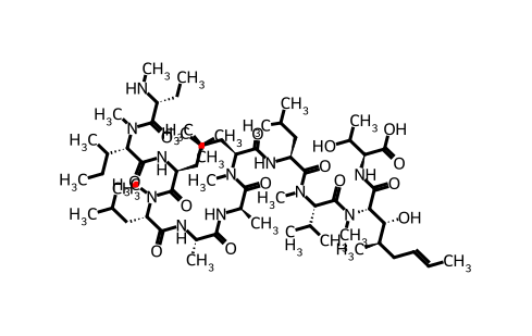 C/C=C/C[C@@H](C)[C@@H](O)[C@@H](C(=O)N[C@H](C(=O)O)C(C)O)N(C)C(=O)[C@H](C(C)C)N(C)C(=O)[C@H](CC(C)C)NC(=O)[C@H](CC(C)C)N(C)C(=O)[C@@H](C)NC(=O)[C@H](C)NC(=O)[C@H](CC(C)C)N(C)C(=O)[C@H](CC(C)C)NC(=O)[C@H](C(C)CC)N(C)C(=O)[C@@H](CC)NC